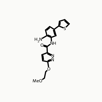 COCCOc1ccc(C(=O)Nc2cc(-c3cccs3)ccc2N)nn1